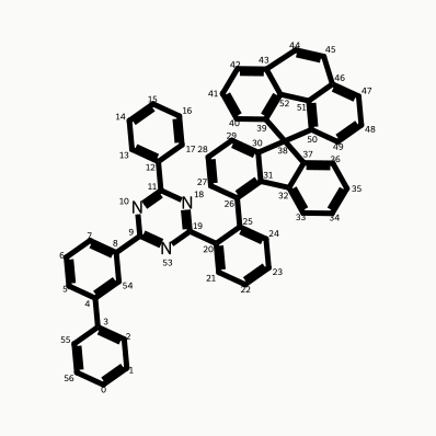 c1ccc(-c2cccc(-c3nc(-c4ccccc4)nc(-c4ccccc4-c4cccc5c4-c4ccccc4C54c5cccc6ccc7cccc4c7c56)n3)c2)cc1